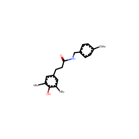 CCCCc1cc(CCC(=O)NCc2ccc(OC)cc2)cc(CCCC)c1O